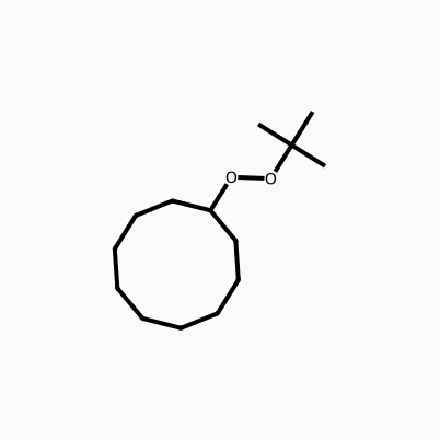 CC(C)(C)OOC1CCCCCCCCC1